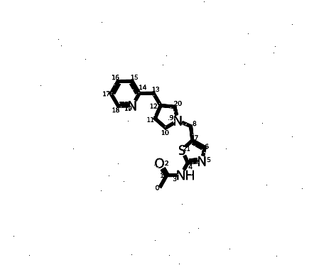 CC(=O)Nc1ncc(CN2CCC(Cc3ccccn3)C2)s1